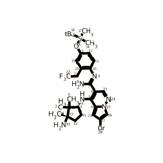 CC1(C)[C@H](Nc2c(/C(N)=N/c3ccc(O[Si](C)(C)C(C)(C)C)cc3CC(F)(F)F)cnn3cc(Br)cc23)CC[C@]1(C)N